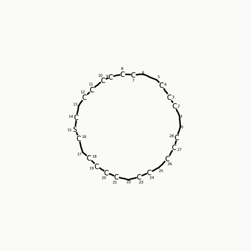 C1CCCCCCCCCCCCCCSCCCCCCCCCCCCC1